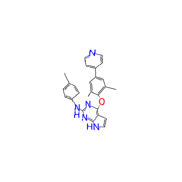 Cc1ccc(Nc2nc(Oc3c(C)cc(-c4ccncc4)cc3C)c3cc[nH]c3n2)cc1